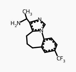 CC(N)c1ncn2c1CCCc1cc(C(F)(F)F)ccc1-2